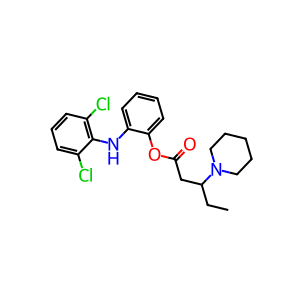 CCC(CC(=O)Oc1ccccc1Nc1c(Cl)cccc1Cl)N1CCCCC1